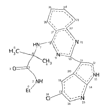 CCNC(=O)C(C)(C)Nc1nc(-c2c[nH]c3ncc(Cl)cc23)nc2ccccc12